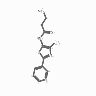 CSCCC(=O)Nc1sc(-c2cccnc2)nc1C